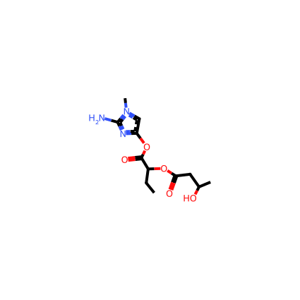 CCC(OC(=O)CC(C)O)C(=O)Oc1cn(C)c(N)n1